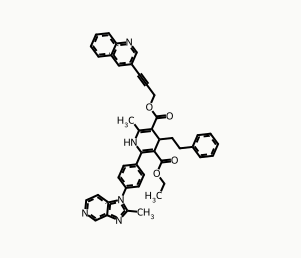 CCOC(=O)C1=C(c2ccc(-n3c(C)nc4cnccc43)cc2)NC(C)=C(C(=O)OCC#Cc2cnc3ccccc3c2)C1CCc1ccccc1